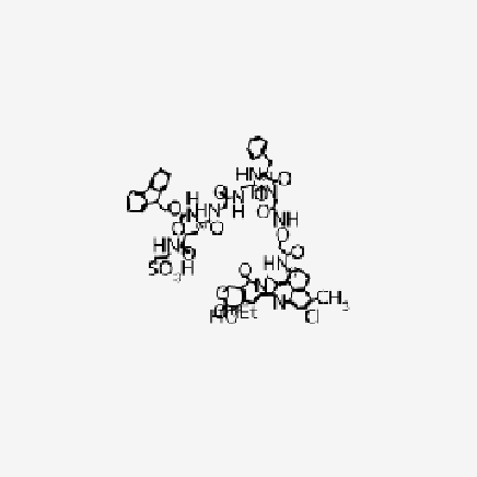 CC[C@@]1(O)C(=O)OCc2c1cc1n(c2=O)Cc2c-1nc1cc(Cl)c(C)c3c1c2[C@@H](NC(=O)COCNC(=O)CNC(=O)[C@H](Cc1ccccc1)NC(=O)CNC(=O)CNC(=O)[C@H](CCC(=O)NCCS(=O)(=O)O)NC(=O)OCC1c2ccccc2-c2ccccc21)CC3